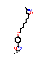 Cc1cc(CCCCCCCOc2ccc(C3=NC[C@H](C)O3)cc2)on1